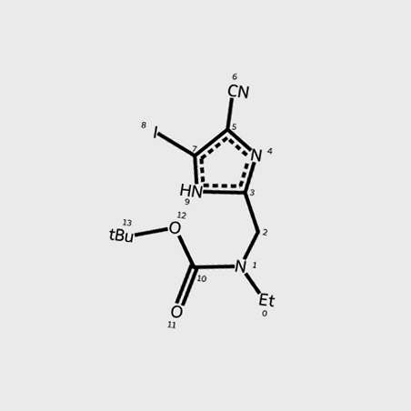 CCN(Cc1nc(C#N)c(I)[nH]1)C(=O)OC(C)(C)C